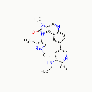 CCNc1cc(-c2ccc3ncc4c(c3c2)n(-c2cn(C)nc2C)c(=O)n4C)cnc1C